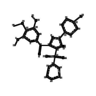 COc1cc(C(=O)c2nc(-c3ccc(Br)cc3)[nH]c2S(=O)(=O)c2ccccc2)cc(OC)c1OC